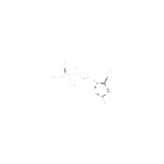 Cc1cc(=O)n(CCSP(=O)(O)O)o1